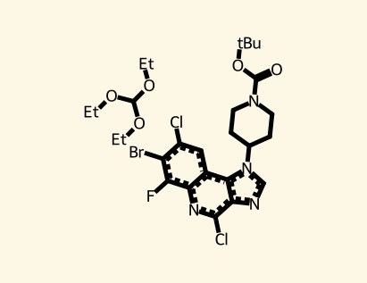 CC(C)(C)OC(=O)N1CCC(n2cnc3c(Cl)nc4c(F)c(Br)c(Cl)cc4c32)CC1.CCOC(OCC)OCC